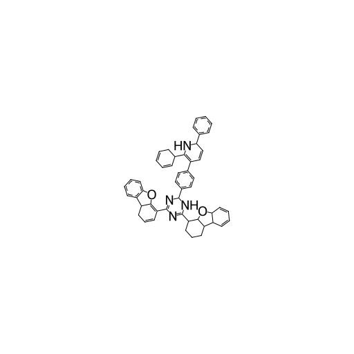 C1=CCC(C2=C(c3ccc(C4N=C(C5=C6Oc7ccccc7C6CC=C5)N=C(C5CCCC6C7C=CC=CC7OC56)N4)cc3)C=CC(c3ccccc3)N2)C=C1